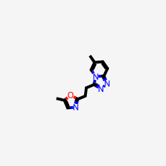 Cc1ccc2nnc(CCc3ncc(C)o3)n2c1